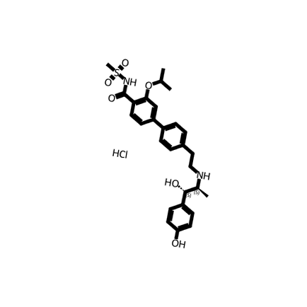 CC(C)Oc1cc(-c2ccc(CCN[C@@H](C)[C@@H](O)c3ccc(O)cc3)cc2)ccc1C(=O)NS(C)(=O)=O.Cl